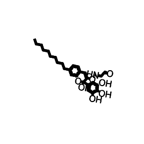 CCCCCCCCCCc1ccc2c(c1)OC(O)(c1cc(O)c(O)c(O)c1)C(ONCC=O)=C2